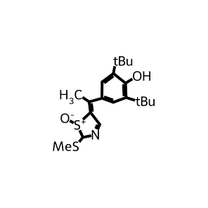 CSC1N=CC(=C(C)c2cc(C(C)(C)C)c(O)c(C(C)(C)C)c2)[S+]1[O-]